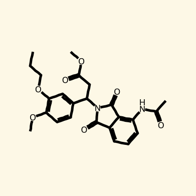 CCCOc1cc(C(CC(=O)OC)N2C(=O)c3cccc(NC(C)=O)c3C2=O)ccc1OC